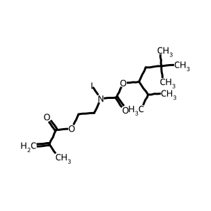 C=C(C)C(=O)OCCN(I)C(=O)OC(CC(C)(C)C)C(C)C